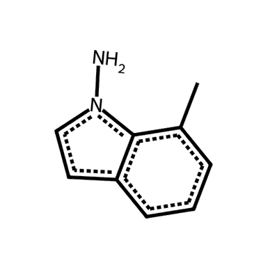 Cc1cccc2ccn(N)c12